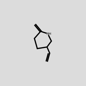 C=CC1CCC(=C)NC1